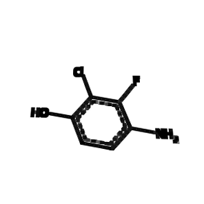 Nc1ccc(O)c(Cl)c1F